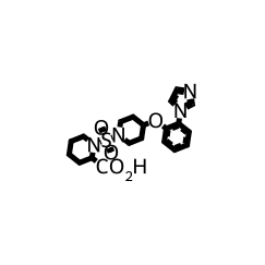 O=C(O)C1CCCCN1S(=O)(=O)N1CCC(Oc2ccccc2-n2ccnc2)CC1